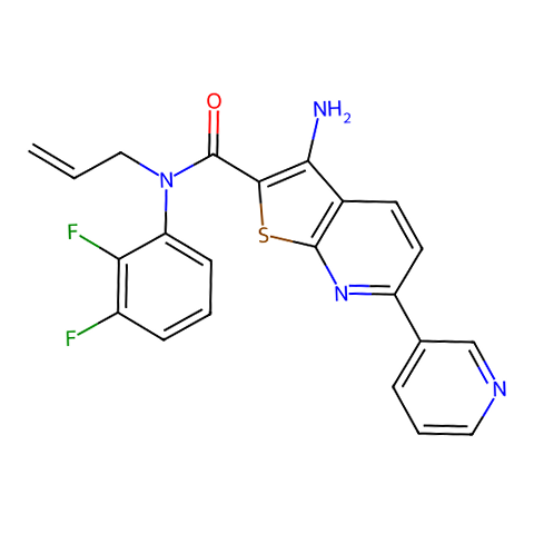 C=CCN(C(=O)c1sc2nc(-c3cccnc3)ccc2c1N)c1cccc(F)c1F